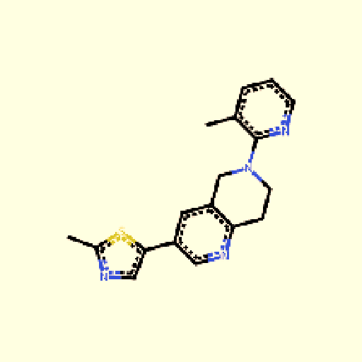 Cc1ncc(-c2cnc3c(c2)CN(c2ncccc2C)CC3)s1